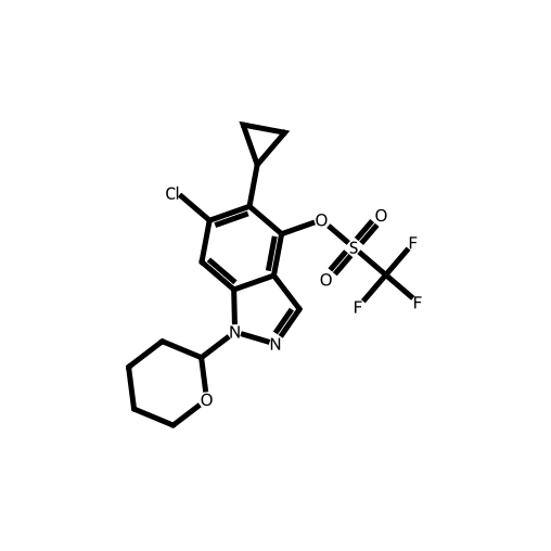 O=S(=O)(Oc1c(C2CC2)c(Cl)cc2c1cnn2C1CCCCO1)C(F)(F)F